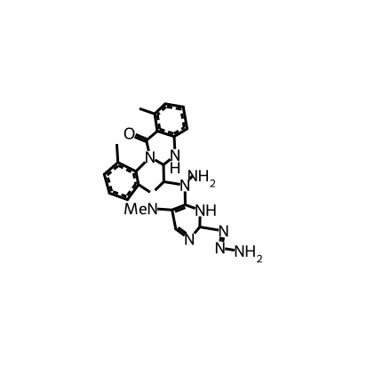 CNC1=C(N(N)C(C)C2Nc3cccc(C)c3C(=O)N2c2c(C)cccc2C)NC(N=NN)N=C1